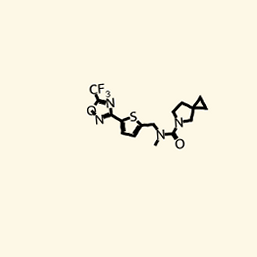 CN(Cc1ccc(-c2noc(C(F)(F)F)n2)s1)C(=O)N1CCC2(CC2)C1